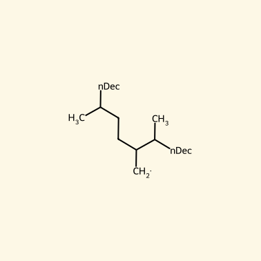 [CH2]C(CCC(C)CCCCCCCCCC)C(C)CCCCCCCCCC